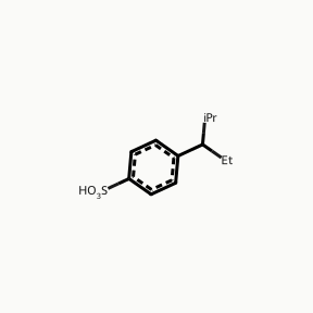 CCC(c1ccc(S(=O)(=O)O)cc1)C(C)C